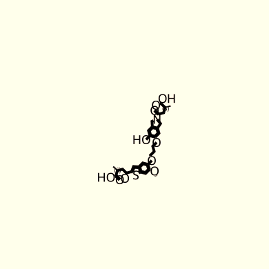 COc1cc2sc(C(=O)C[C@H](C)C(=O)O)cc2cc1OCCCOc1cc2c(cc1O)CN(C(=O)C[C@H](C)C(=O)O)C2